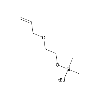 C=CCOCCO[Si](C)(C)C(C)(C)C